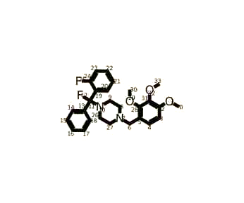 COc1ccc(CN2CCN(C(F)(c3ccccc3)c3ccccc3F)CC2)c(OC)c1OC